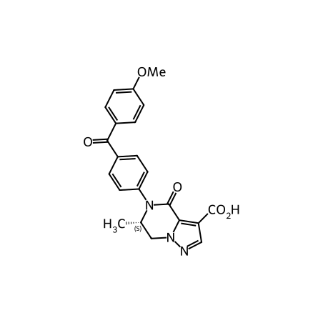 COc1ccc(C(=O)c2ccc(N3C(=O)c4c(C(=O)O)cnn4C[C@@H]3C)cc2)cc1